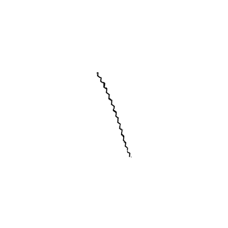 [CH2]CCCCCCCCCCCCCCCCCCCCCCC/C=C/CCCC